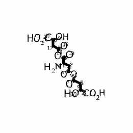 N[C@@H](CC(=O)OC(=O)CC(O)C(=O)O)C(=O)OC(=O)CC(O)C(=O)O